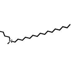 CCCCCCCCCCCCCCCCN(C)CCCC